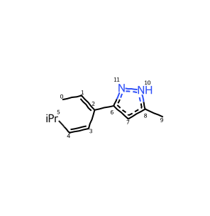 C/C=C(\C=C/C(C)C)c1cc(C)[nH]n1